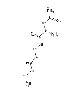 NC(=O)C[C@H](N)C(=O)NCCNCCO